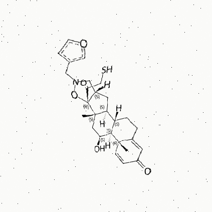 C[C@]12C=CC(=O)C=C1CC[C@@H]1[C@@H]2[C@@H](O)C[C@@]2(C)[C@H]1C[C@H]1CN(Cc3ccoc3)O[C@]12C(=O)CS